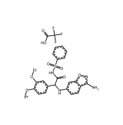 CCOc1cc(C(Nc2ccc3c(N)noc3c2)C(=O)NS(=O)(=O)c2ccccc2)ccc1OC(C)C.O=C(O)C(F)(F)F